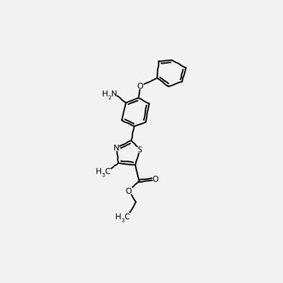 CCOC(=O)c1sc(-c2ccc(Oc3ccccc3)c(N)c2)nc1C